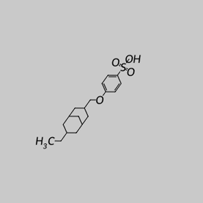 CCC1CC2CC(COc3ccc(S(=O)(=O)O)cc3)CC(C1)C2